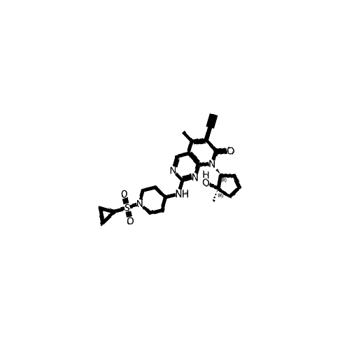 C#Cc1c(C)c2cnc(NC3CCN(S(=O)(=O)C4CC4)CC3)nc2n([C@@H]2CCC[C@@]2(C)O)c1=O